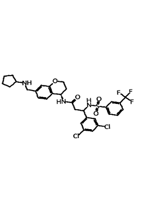 O=C(CC(NS(=O)(=O)c1cccc(C(F)(F)F)c1)c1cc(Cl)cc(Cl)c1)N[C@@H]1CCOc2cc(CNC3CCCC3)ccc21